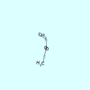 CCCCCCCC/C=C\CCCCCCCCOC(=O)CCCCCCC/C=C/CCCCCCCC